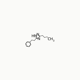 CCCCc1n[nH]c(CCc2ccccc2)n1